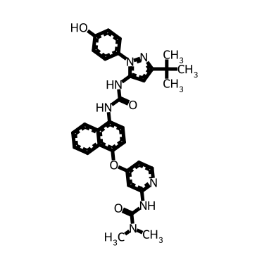 CN(C)C(=O)Nc1cc(Oc2ccc(NC(=O)Nc3cc(C(C)(C)C)nn3-c3ccc(O)cc3)c3ccccc23)ccn1